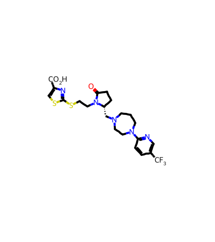 O=C(O)c1csc(SCCN2C(=O)CC[C@@H]2CN2CCCN(c3ccc(C(F)(F)F)cn3)CC2)n1